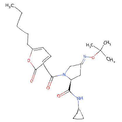 CCCCCc1ccc(C(=O)N2CC(=NOC(C)(C)C)C[C@H]2C(=O)NC2CC2)c(=O)o1